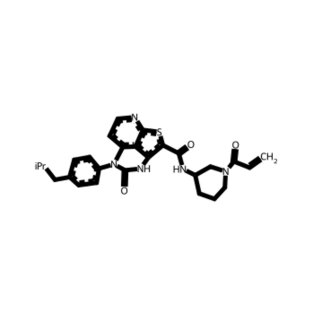 C=CC(=O)N1CCCC(NC(=O)c2sc3nccc4c3c2NC(=O)N4c2ccc(CC(C)C)cc2)C1